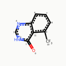 O=c1[nH]cnc2cccc(C(F)(F)F)c12